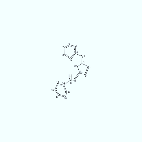 C1=CC(=Nc2ccccc2)CC1=CNc1ccccc1